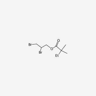 CCC(C)(C)C(=O)OCC(Br)CBr